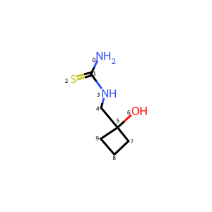 NC(=S)NCC1(O)CCC1